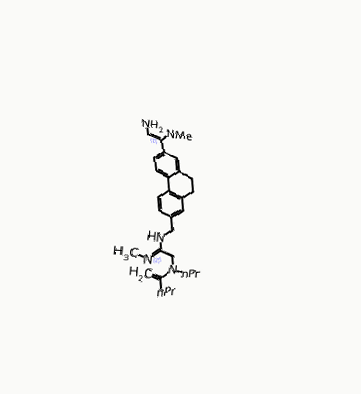 C=C(CCC)N(CCC)C/C(=N/C)NCc1ccc2c(c1)CCc1cc(/C(=C/N)NC)ccc1-2